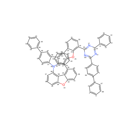 c1ccc(-c2ccc(-c3nc(-c4ccccc4)nc(-c4cccc5c4oc4c(-c6cccc7oc8cccc(-n9c%10ccccc%10c%10cc(-c%11ccccc%11)ccc%109)c8c67)cccc45)n3)cc2)cc1